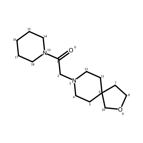 O=C(CN1CCC2(CCOC2)CC1)N1CCCCC1